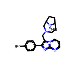 CC(C)c1ccc(-c2nc3ncccn3c2CN2CCC3CCC(C2)N3C=O)cc1